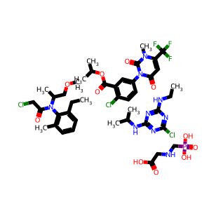 CC(C)OC(=O)c1cc(-n2c(=O)cc(C(F)(F)F)n(C)c2=O)ccc1Cl.CCNc1nc(Cl)nc(NC(C)C)n1.CCc1cccc(C)c1N(C(=O)CCl)C(C)COC.O=C(O)CNCP(=O)(O)O